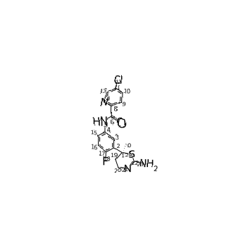 C[C@@]1(c2cc(NC(=O)c3ccc(Cl)cn3)ccc2F)CCN=C(N)S1